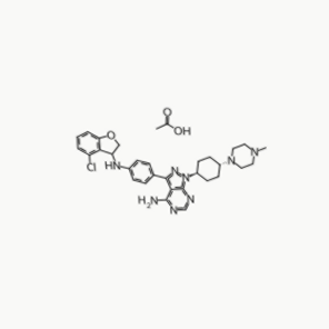 CC(=O)O.CN1CCN([C@H]2CC[C@H](n3nc(-c4ccc(NC5COc6cccc(Cl)c65)cc4)c4c(N)ncnc43)CC2)CC1